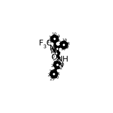 O=C(Cn1nnc(-c2ccccc2C(F)(F)F)c1-c1ccccc1)Nc1ccc(-c2ccccc2)cn1